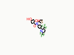 O=C(c1ccc(O)cc1O)N(Cc1ccsc1)c1ccc(-c2nc(C(F)(F)F)ccc2C(F)(F)F)cc1